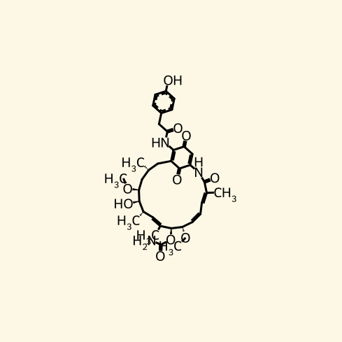 CO[C@H]1/C=C\C=C(/C)C(=O)NC2=CC(=O)C(NC(=O)Cc3ccc(O)cc3)=C(C[C@@H](C)C[C@H](OC)[C@H](O)[C@@H](C)/C=C(\C)[C@@H]1OC(N)=O)C2=O